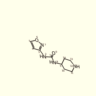 O=C(Nc1ccon1)NC1CCNCC1